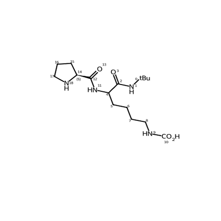 CC(C)(C)NC(=O)C(CCCCNC(=O)O)NC(=O)[C@@H]1CCCN1